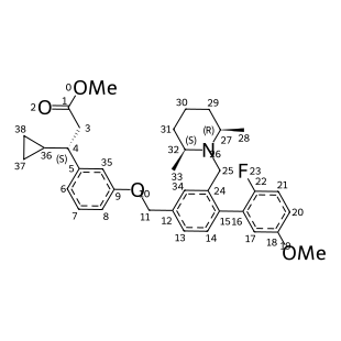 COC(=O)C[C@H](c1cccc(OCc2ccc(-c3cc(OC)ccc3F)c(CN3[C@H](C)CCC[C@@H]3C)c2)c1)C1CC1